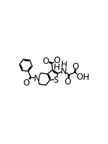 O=C(O)C(=O)Nc1sc2c(c1C(=O)O)CN(C(=O)c1ccccc1)CC2